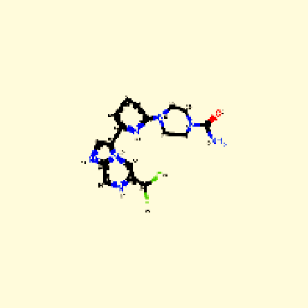 NC(=O)N1CCN(c2cccc(-c3cnc4cnc(C(F)F)cn34)n2)CC1